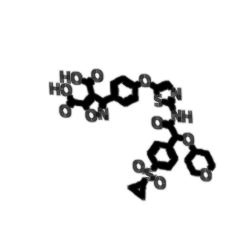 O=C(O)c1onc(-c2ccc(Oc3cnc(NC(=O)C(OC4CCOCC4)c4ccc(S(=O)(=O)C5CC5)cc4)s3)cc2)c1C(=O)O